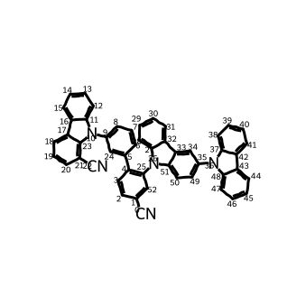 N#Cc1ccc(-c2cccc(-n3c4ccccc4c4cccc(C#N)c43)c2)c(-n2c3ccccc3c3cc(-n4c5ccccc5c5ccccc54)ccc32)c1